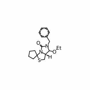 CCOC1[C@@H]2CSC3(CCCC3)N2C(=O)N1Cc1ccccc1